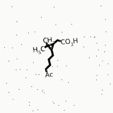 CC(=O)CCCCC1C(CC(=O)O)C1(C)C